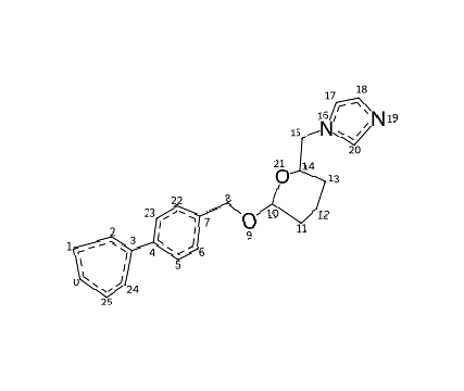 c1ccc(-c2ccc(COC3CCCC(Cn4ccnc4)O3)cc2)cc1